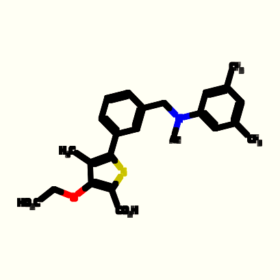 CC(=O)N(Cc1cccc(-c2sc(C(=O)O)c(OCC(=O)O)c2C)c1)c1cc(C(F)(F)F)cc(C(F)(F)F)c1